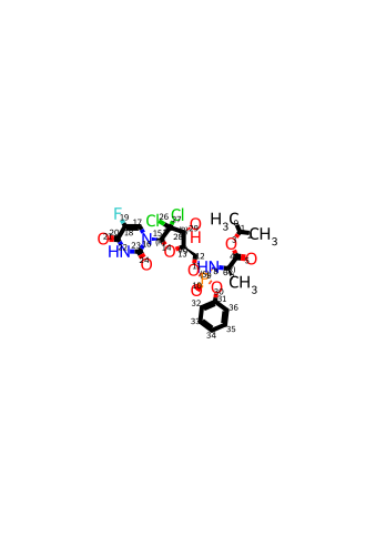 CC(C)OC(=O)[C@@H](C)N[P@](=O)(OC[C@H]1O[C@@H](n2cc(F)c(=O)[nH]c2=O)C(Cl)(Cl)[C@@H]1O)Oc1ccccc1